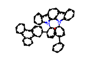 c1ccc(-c2ccc(-n3c4ccccc4c4ccc5c6ccccc6n(-c6ccccc6-c6ccc7c8ccccc8c8ccccc8c7c6)c5c43)cc2)cc1